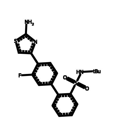 CC(C)(C)NS(=O)(=O)c1ccccc1-c1ccc(-c2csc(N)n2)c(F)c1